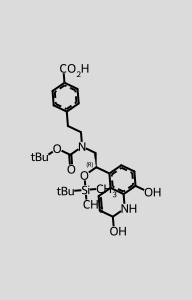 CC(C)(C)OC(=O)N(CCc1ccc(C(=O)O)cc1)C[C@H](O[Si](C)(C)C(C)(C)C)c1ccc(O)c2c1C=CC(O)N2